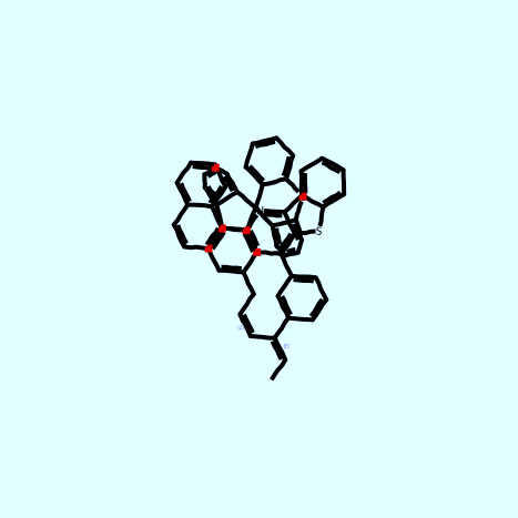 C/C=C(\C=C/Cc1ccc2c(c1)C1(c3ccccc3Oc3ccccc31)c1ccccc1-2)c1cccc(-c2nc(-c3cccc4ccccc34)nc3c2sc2ccccc23)c1